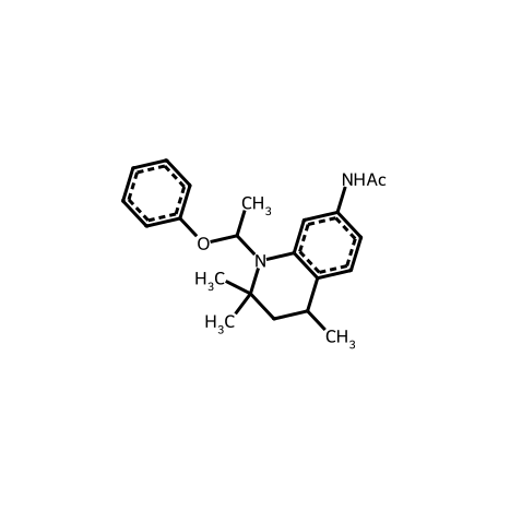 CC(=O)Nc1ccc2c(c1)N(C(C)Oc1ccccc1)C(C)(C)CC2C